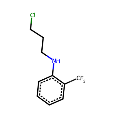 FC(F)(F)c1ccccc1NCCCCl